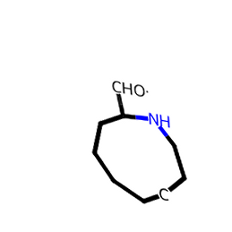 O=[C]C1CCCCCCCN1